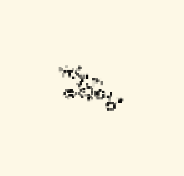 CCc1c(N2CCN(C(=O)c3ncccc3O)CC2)c(=O)n2nc(N3CC4CC(C3)O4)nc2n1CC(=O)Nc1ccc(C(F)(F)F)cc1F